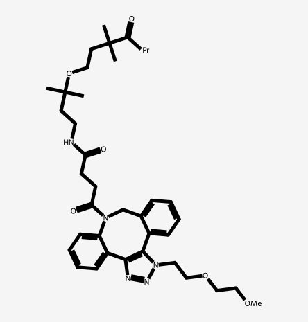 COCCOCCn1nnc2c1-c1ccccc1CN(C(=O)CCC(=O)NCCC(C)(C)OCCC(C)(C)C(=O)C(C)C)c1ccccc1-2